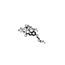 CCOC(=O)c1cc2cc(OCCOC)cc(N)c2n1C(=O)OC(C)(C)C